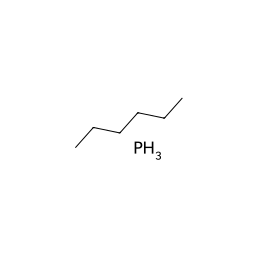 CCCCCC.P